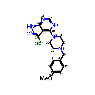 COc1ccc(CN2CCN(c3ncnc4[nH]nc(Br)c34)CC2)cc1